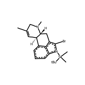 CC1=C[C@@H]2c3cccc4c3c(c(Br)n4[Si](C)(C)C(C)(C)C)C[C@H]2N(C)C1